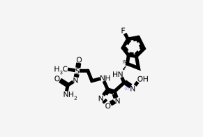 CS(=O)(CCNc1nonc1/C(=N/O)N[C@H]1Cc2ccc(F)cc21)=NC(N)=O